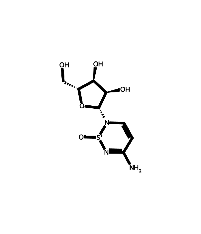 NC1=N[S+]([O-])N([C@@H]2O[C@H](CO)[C@@H](O)[C@H]2O)C=C1